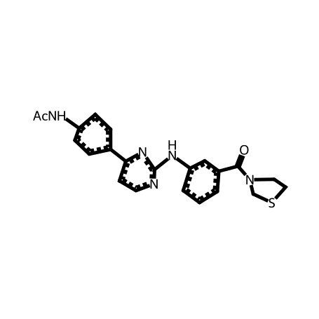 CC(=O)Nc1ccc(-c2ccnc(Nc3cccc(C(=O)N4CCSC4)c3)n2)cc1